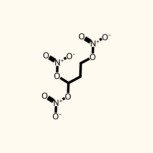 O=[N+]([O-])OCCC(O[N+](=O)[O-])O[N+](=O)[O-]